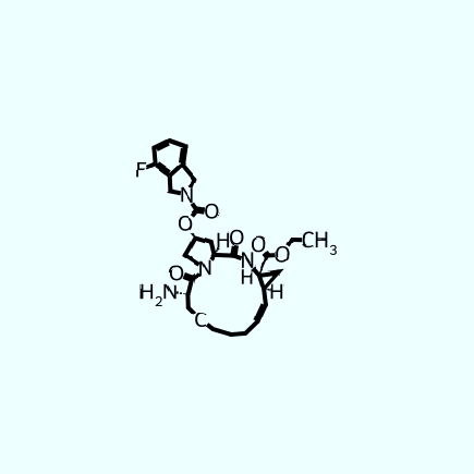 CCOC(=O)[C@@]12C[C@H]1/C=C\CCCCC[C@H](N)C(=O)N1C[C@H](OC(=O)N3Cc4cccc(F)c4C3)C[C@H]1C(=O)N2